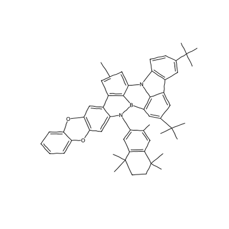 Cc1cc2c3c(c1)-n1c4ccc(C(C)(C)C)cc4c4cc(C(C)(C)C)cc(c41)B3N(c1cc3c(cc1C)C(C)(C)CCC3(C)C)c1cc3c(cc1-2)Oc1ccccc1O3